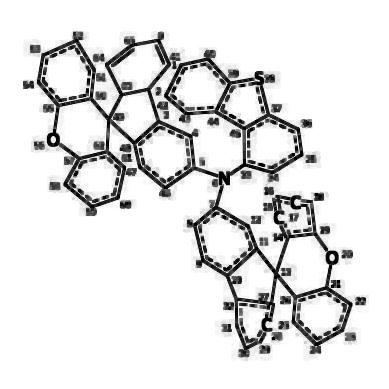 C1=CC2c3cc(N(c4ccc5c(c4)C4(c6ccccc6Oc6ccccc64)c4ccccc4-5)c4cccc5sc6ccccc6c45)ccc3C3(c4ccccc4Oc4ccccc43)C2C=C1